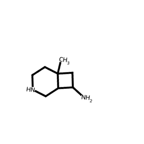 CC12CCNCC1C(N)C2